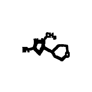 CC(C)c1cc(C2CCOCC2)n(C)n1